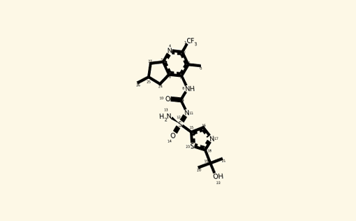 Cc1c(C(F)(F)F)nc2c(c1NC(=O)N=[S@@](N)(=O)c1cnc(C(C)(C)O)s1)CC(C)C2